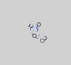 O=C(NCc1ccc(CN(CCNCc2nc3ccccc3[nH]2)C2CCCc3cccnc32)cc1)c1c(Cl)cncc1Cl